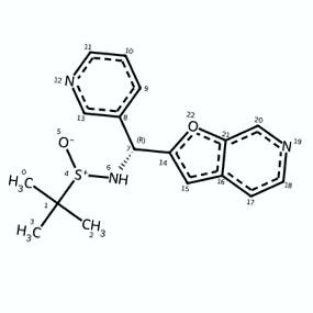 CC(C)(C)[S+]([O-])N[C@H](c1cccnc1)c1cc2ccncc2o1